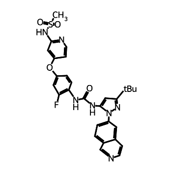 CC(C)(C)c1cc(NC(=O)Nc2ccc(Oc3ccnc(NS(C)(=O)=O)c3)cc2F)n(-c2ccc3cnccc3c2)n1